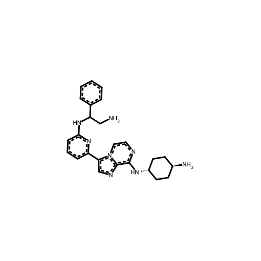 NCC(Nc1cccc(-c2cnc3c(N[C@H]4CC[C@H](N)CC4)nccn23)n1)c1ccccc1